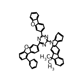 CC1(C)c2ccccc2-c2cc3c4ccccc4n(-c4nc(-c5ccc6c(c5)oc5ccccc56)nc(-c5ccc6c(c5)oc5cccc(-c7ccccc7)c56)n4)c3cc21